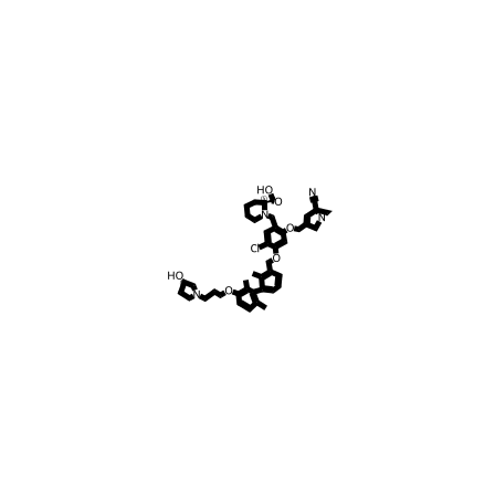 Cc1ccc(OCCCN2CC[C@@H](O)C2)c(C)c1-c1cccc(COc2cc(OCC3=CC4(C#N)CN4C3)c(CN3CCCC[C@H]3C(=O)O)cc2Cl)c1C